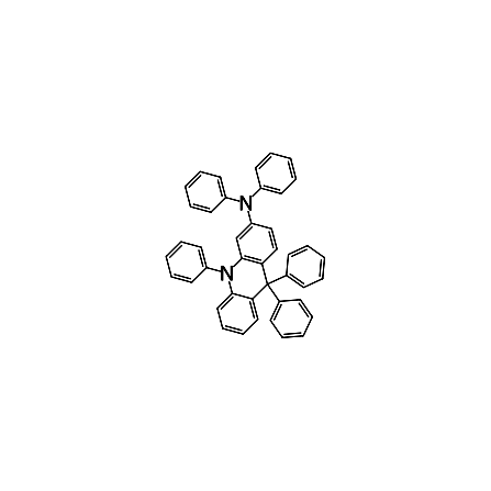 c1ccc(N(c2ccccc2)c2ccc3c(c2)N(c2ccccc2)c2ccccc2C3(c2ccccc2)c2ccccc2)cc1